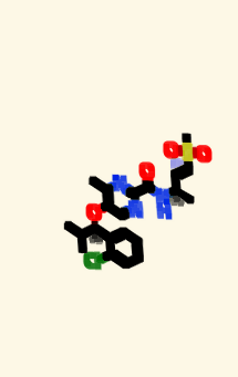 Cc1nc(C(=O)N[C@H](C)/C=C/S(C)(=O)=O)ncc1O[C@H](c1ccccc1Cl)C(C)C